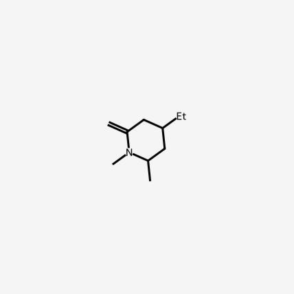 C=C1CC(CC)CC(C)N1C